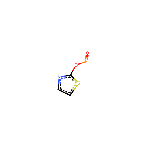 O=POc1nccs1